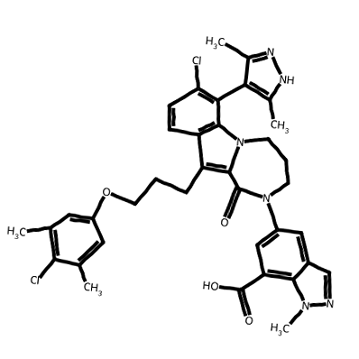 Cc1cc(OCCCc2c3n(c4c(-c5c(C)n[nH]c5C)c(Cl)ccc24)CCCN(c2cc(C(=O)O)c4c(cnn4C)c2)C3=O)cc(C)c1Cl